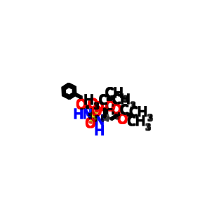 CC(C)(C)OC(=O)C[C@H](NS(=O)(=O)NC(=O)OCc1ccccc1)C(=O)OC(C)(C)C